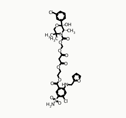 C[C@@H]1N(C(=O)OCOC(=O)CC(=O)OCCOC(=O)c2cc(S(N)(=O)=O)c(Cl)cc2NCc2ccco2)C(C)(C)CO[C@@]1(O)c1cccc(Cl)c1